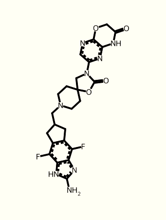 Nc1nc2c(F)c3c(c(F)c2[nH]1)CC(CN1CCC2(CC1)CN(c1cnc4c(n1)NC(=O)CO4)C(=O)O2)C3